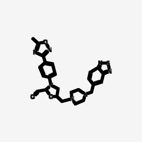 Cc1nc(-c2ccc(N3CC(CN4CCN(Cc5ccc6nsnc6c5)CC4)OC3C=O)cc2)no1